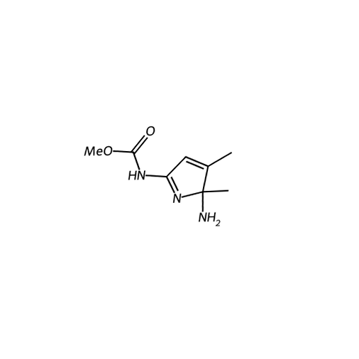 COC(=O)NC1=NC(C)(N)C(C)=C1